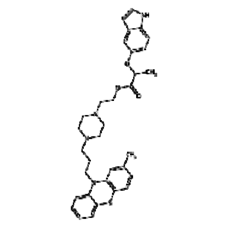 CC(Oc1ccc2[nH]ccc2c1)C(=O)OCCN1CCN(CCCN2c3ccccc3Sc3ccc(C(F)(F)F)cc32)CC1